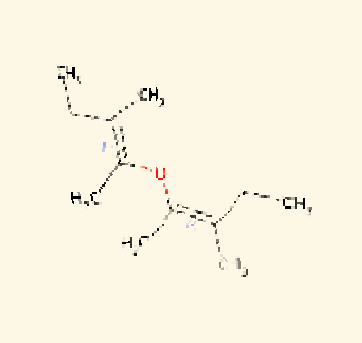 CC/C(C)=C(/C)O/C(C)=C(\C)CC